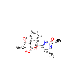 COC(=O)C(=CO)c1ccccc1C(=O)c1cc(C(F)(F)F)nc(OC(C)C)n1